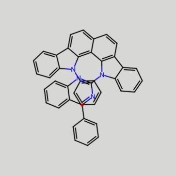 c1ccc(-c2nc(-n3c4ccccc4c4ccc5ccc6c7ccccc7n(-c7ccccc7)c6c5c43)nc3ccccc23)cc1